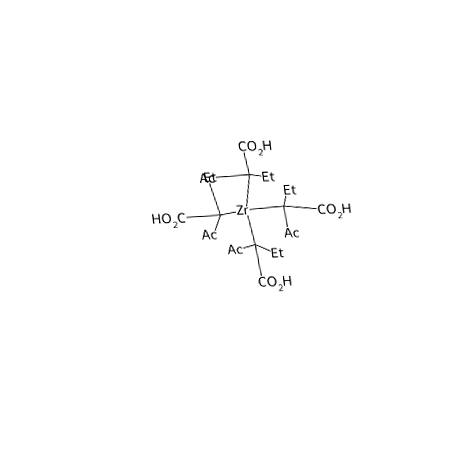 CC[C](C(C)=O)(C(=O)O)[Zr]([C](CC)(C(C)=O)C(=O)O)([C](CC)(C(C)=O)C(=O)O)[C](CC)(C(C)=O)C(=O)O